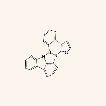 c1ccc2c(c1)B1N(c3occc3-2)c2cccc3c4ccccc4n1c23